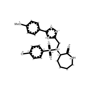 COc1ccc(-c2nnc(CN([C@@H]3CCCCNC3=O)S(=O)(=O)c3ccc(Cl)cc3)o2)cc1